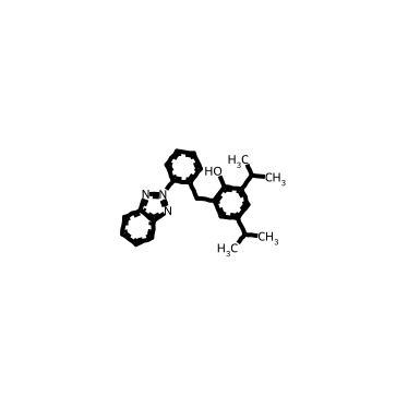 CC(C)c1cc(Cc2ccccc2-n2nc3ccccc3n2)c(O)c(C(C)C)c1